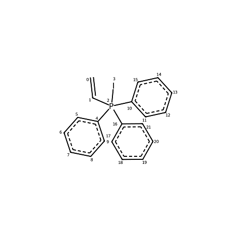 C=CP(I)(c1ccccc1)(c1ccccc1)c1ccccc1